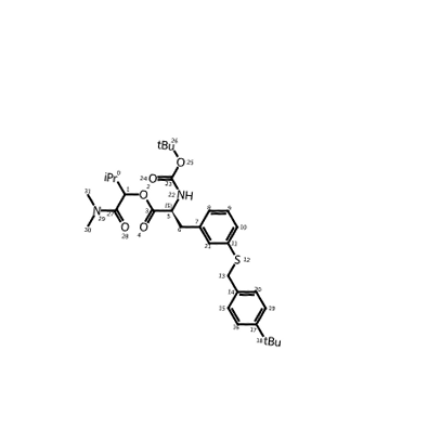 CC(C)C(OC(=O)[C@H](Cc1cccc(SCc2ccc(C(C)(C)C)cc2)c1)NC(=O)OC(C)(C)C)C(=O)N(C)C